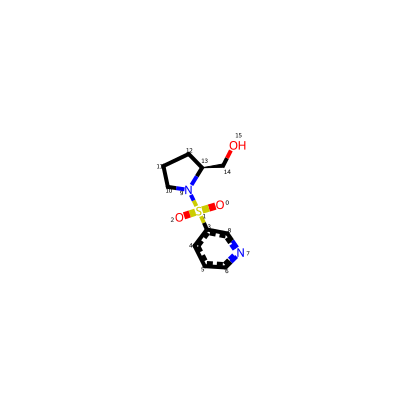 O=S(=O)(c1cccnc1)N1CCC[C@H]1CO